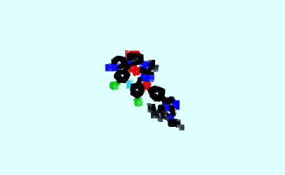 CC(NCc1c(F)cc(Cl)cc1Oc1ccc(-c2cnc(CN(C)C)n2C)cc1)C(=O)NC(CO)C(=O)N(C)C1(Cc2ccc(Cl)cc2)CCCNC1